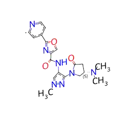 CN(C)[C@H]1CC(=O)N(c2nn(C)cc2NC(=O)c2coc(-c3c[c]ncc3)n2)C1